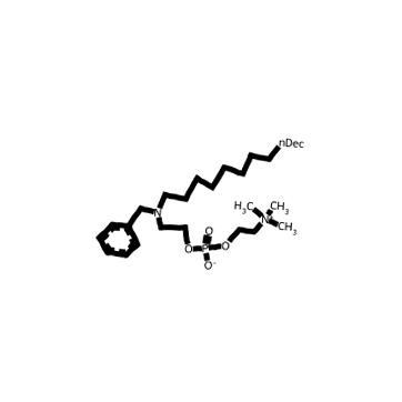 CCCCCCCCCCCCCCCCCCN(CCOP(=O)([O-])OCC[N+](C)(C)C)Cc1ccccc1